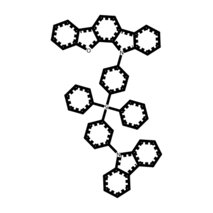 c1ccc([Si](c2ccccc2)(c2ccc(-n3c4ccccc4c4ccc5c6ccccc6oc5c43)cc2)c2cccc(-n3c4ccccc4c4ccccc43)c2)cc1